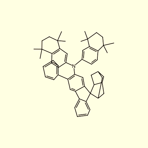 CC1(C)CCC(C)(C)c2cc(N(c3ccc4c(c3)C(C)(C)CCC4(C)C)c3cc4c(cc3-c3ccccc3)-c3ccccc3C43C4CC5CC(C4)C3C5)ccc21